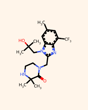 Cc1cc(C(F)(F)F)c2nc(CN3CCNC(C)(C)C3=O)n(CC(C)(C)O)c2c1